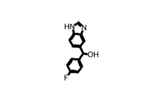 OC(c1ccc(F)cc1)c1ccc2[nH][c]nc2c1